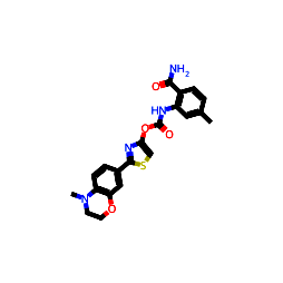 Cc1ccc(C(N)=O)c(NC(=O)Oc2csc(-c3ccc4c(c3)OCCN4C)n2)c1